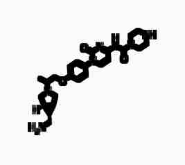 CC(COc1ccc(-n2ccc(NC(=O)N3CCNCC3)nc2=O)cc1)N1CC2[C@H](CN)[C@H]2C1